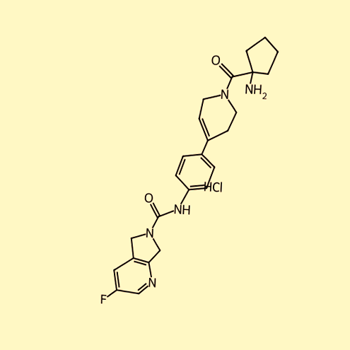 Cl.NC1(C(=O)N2CC=C(c3ccc(NC(=O)N4Cc5cc(F)cnc5C4)cc3)CC2)CCCC1